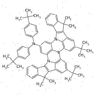 CC(C)(C)c1ccc(N(c2ccc(C(C)(C)C)cc2)c2cc3c4c(c2)-n2c5c(c6cc(C(C)(C)C)cc(c62)B4c2cc(C(C)(C)C)cc4c6c(n-3c24)-c2ccccc2C6(C)C)C(C)(C)c2ccccc2-5)cc1